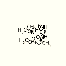 CCOC(=O)CN1CCC(OC)(C(=O)Nc2ccc3[nH]nc(-c4ccc(OC(C)C)nc4)c3c2)C1